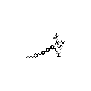 C=C(C)C(=O)OCCCc1cc(-c2ccc(-c3ccc(CCC4CCC(CCCCC)CC4)cc3)cc2)ccc1OCC(COC(=O)C(=C)C)(COC(=O)C(=O)OC)COC(=O)C(=O)OC